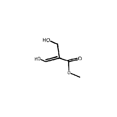 COC(=O)C(=CO)CO